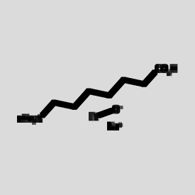 CCCCCCCCCCCCCC(=O)O.CC[O-].[Na+]